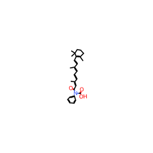 CC1=C(/C=C/C(C)=C/C=C/C(C)=C/C(=O)N(C(=O)O)c2ccccc2)C(C)(C)CCC1